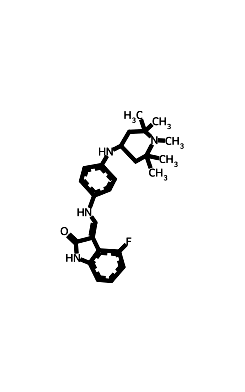 CN1C(C)(C)CC(Nc2ccc(NC=C3C(=O)Nc4cccc(F)c43)cc2)CC1(C)C